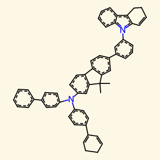 CC1(C)c2cc(-c3cccc(-n4c5c(c6ccccc64)CCC=C5)c3)ccc2-c2ccc(N(c3ccc(C4=CCCC=C4)cc3)c3ccc(-c4ccccc4)cc3)cc21